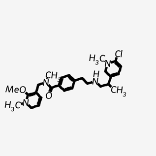 COC1=C(CN(C)C(=O)c2ccc(CCNCC(C)C3=CC=C(Cl)N(C)C3)cc2)C=CCN1C